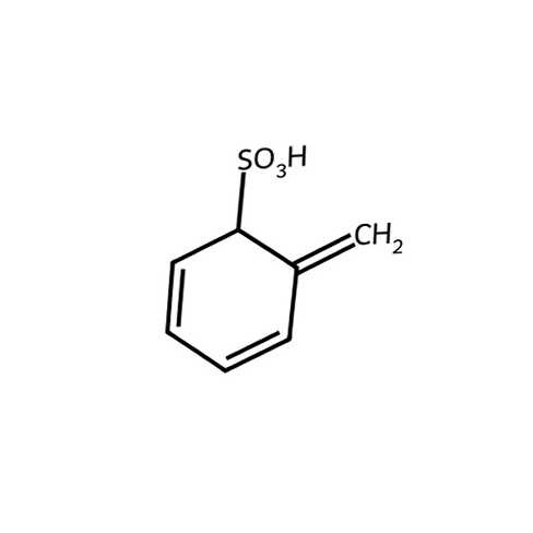 C=C1C=CC=CC1S(=O)(=O)O